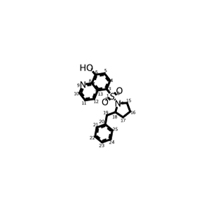 O=S(=O)(c1ccc(O)c2ncccc12)N1CCCC1Cc1ccccc1